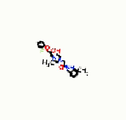 Cc1cccc(CNC(=O)CN2CCN(C[C@@H](O)COc3ccccc3F)[C@@H](C)C2)c1